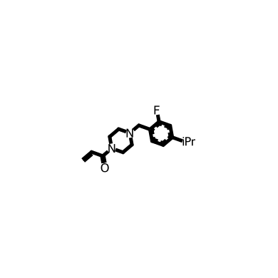 C=CC(=O)N1CCN(Cc2ccc(C(C)C)cc2F)CC1